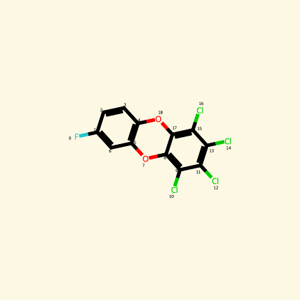 Fc1ccc2c(c1)Oc1c(Cl)c(Cl)c(Cl)c(Cl)c1O2